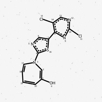 OC1=CN(c2ncc(-c3nc(Cl)ncc3Cl)s2)C=CC=C1